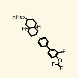 CCCCCCC1CC[C@@H]2C[C@H](c3ccc(-c4ccc(OC(F)F)c(F)c4)cc3)CC[C@@H]2C1